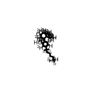 [2H]c1c(O)c2c(c([2H])c1C(C)(C)CCCCC([2H])([2H])C)OC(C([2H])([2H])[2H])(C([2H])([2H])[2H])[C@]1([2H])C([2H])([2H])C([2H])([2H])C(=O)C([2H])([2H])[C@@]21[2H]